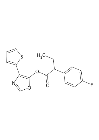 CCC(C(=O)Oc1ocnc1-c1cccs1)c1ccc(F)cc1